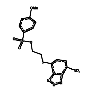 COc1ccc(S(=O)(=O)OCCSc2ccc([N+](=O)[O-])c3nonc23)cc1